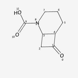 O=C1CC2C1CCCN2C(=O)O